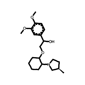 COc1ccc(C(O)COC2CCCCC2N2CC[C@@H](C)C2)cc1OC